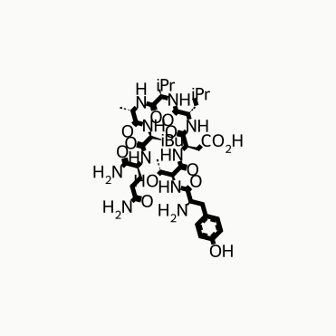 CC[C@H](C)[C@H](NC(=O)[C@H](C)NC(=O)[C@@H](NC(=O)[C@H](CC(C)C)NC(=O)[C@@H](CC(=O)O)NC(=O)[C@@H](NC(=O)[C@@H](N)Cc1ccc(O)cc1)[C@@H](C)O)C(C)C)C(=O)N[C@@H](CCC(N)=O)C(N)=O